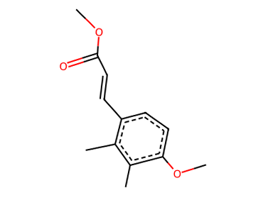 COC(=O)C=Cc1ccc(OC)c(C)c1C